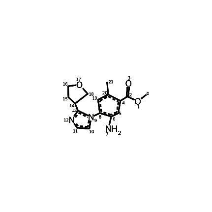 COC(=O)c1cc(N)c(-n2ccnc2C2CCOC2)cc1C